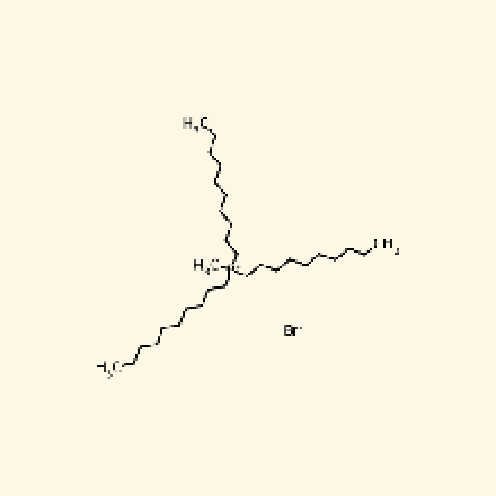 CCCCCCCCCC[P+](C)(CCCCCCCCCC)CCCCCCCCCC.[Br-]